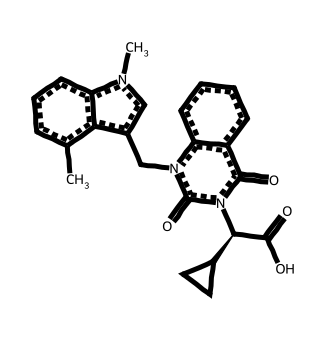 Cc1cccc2c1c(Cn1c(=O)n([C@@H](C(=O)O)C3CC3)c(=O)c3ccccc31)cn2C